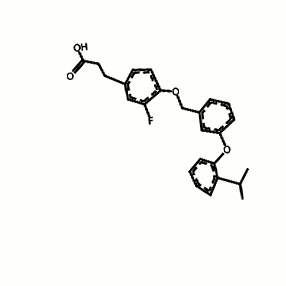 CC(C)c1ccccc1Oc1cccc(COc2ccc(CCC(=O)O)cc2F)c1